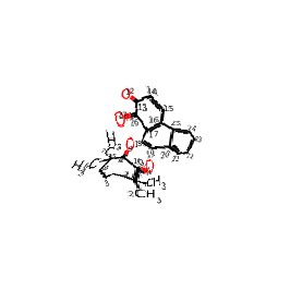 CC1(C)CCC(C)(C)C(=O)C1=O.O=C1C=Cc2c(ccc3ccccc23)C1=O